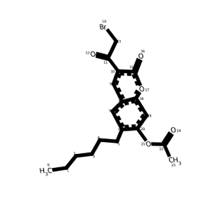 CCCCCCc1cc2cc(C(=O)CBr)c(=O)oc2cc1OC(C)=O